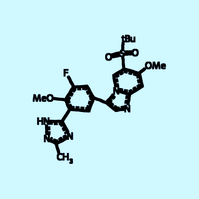 COc1cc2ncc(-c3cc(F)c(OC)c(-c4nc(C)n[nH]4)c3)n2cc1S(=O)(=O)C(C)(C)C